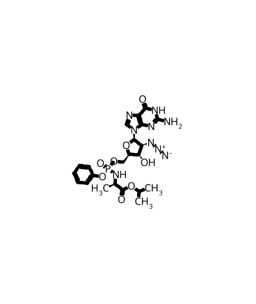 CC(C)OC(=O)[C@@H](C)NP(=O)(OC[C@H]1O[C@@H](n2cnc3c(=O)[nH]c(N)nc32)[C@H](N=[N+]=[N-])[C@@H]1O)Oc1ccccc1